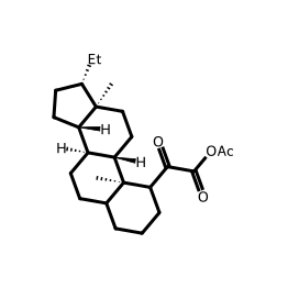 CC[C@H]1CC[C@H]2[C@@H]3CCC4CCCC(C(=O)C(=O)OC(C)=O)[C@]4(C)[C@H]3CC[C@]12C